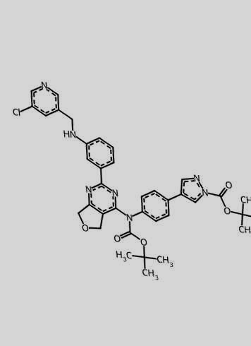 CC(C)(C)OC(=O)N(c1ccc(-c2cnn(C(=O)OC(C)(C)C)c2)cc1)c1nc(-c2cccc(NCc3cncc(Cl)c3)c2)nc2c1COC2